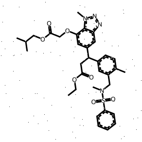 CCOC(=O)CC(c1ccc(C)c(CN(C)S(=O)(=O)c2ccccc2)c1)c1cc(OCC(=O)OCC(C)C)c2c(c1)nnn2C